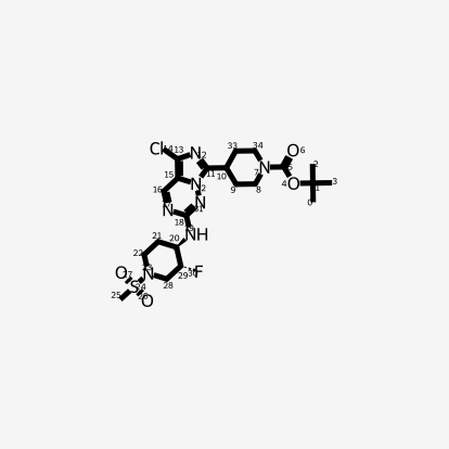 CC(C)(C)OC(=O)N1CCC(c2nc(Cl)c3cnc(N[C@@H]4CCN(S(C)(=O)=O)C[C@H]4F)nn23)CC1